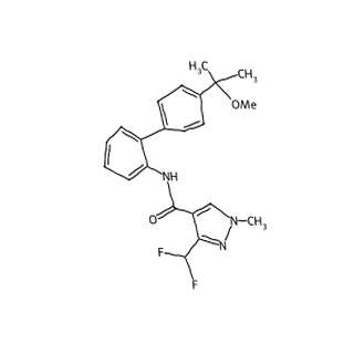 COC(C)(C)c1ccc(-c2ccccc2NC(=O)c2cn(C)nc2C(F)F)cc1